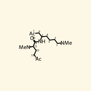 CNCCCCC(CC(C)=O)NC(=O)C(CCC(C)=O)NC